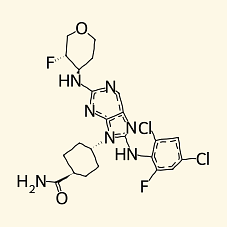 NC(=O)[C@H]1CC[C@H](n2c(Nc3c(F)cc(Cl)cc3Cl)nc3cnc(N[C@@H]4CCOC[C@H]4F)nc32)CC1